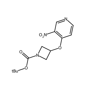 CC(C)(C)OC(=O)N1CC(Oc2ccncc2[N+](=O)[O-])C1